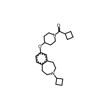 O=C(C1CCC1)N1CCC(Oc2ccc3c(c2)CCN(C2CCC2)CC3)CC1